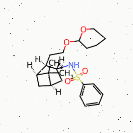 CC1(C)[C@H]2C[C@@H](NS(=O)(=O)c3ccccc3)[C@H](CCOC3CCCCO3)[C@@H]1C2